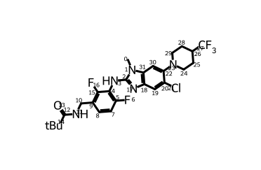 Cn1c(Nc2c(F)ccc(CNC(=O)C(C)(C)C)c2F)nc2cc(Cl)c(N3CCC(C(F)(F)F)CC3)cc21